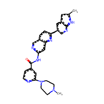 Cc1cc2cc(-c3ccc4cnc(NC(=O)c5ccnc(N6CCN(C)CC6)c5)cc4n3)cnc2[nH]1